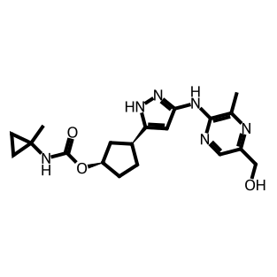 Cc1nc(CO)cnc1Nc1cc([C@H]2CC[C@@H](OC(=O)NC3(C)CC3)C2)[nH]n1